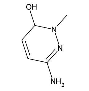 CN1N=C(N)C=CC1O